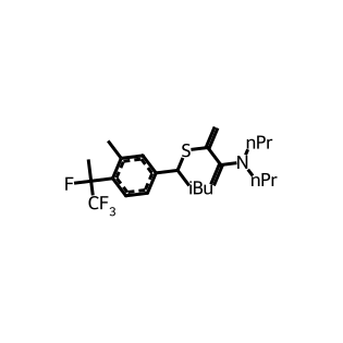 C=C(SC(c1ccc(C(C)(F)C(F)(F)F)c(C)c1)C(C)CC)C(=C)N(CCC)CCC